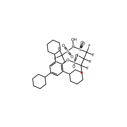 O=S(=O)(Oc1c(C2CCCCC2)cc(C2CCCCC2)cc1C1CCCCC1)C(F)(F)C(F)(F)C(F)(F)S(=O)(=O)N(O)S(=O)(=O)C(F)(F)F